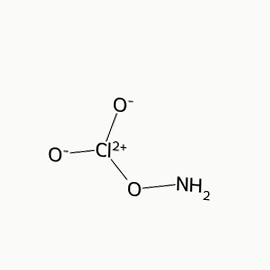 NO[Cl+2]([O-])[O-]